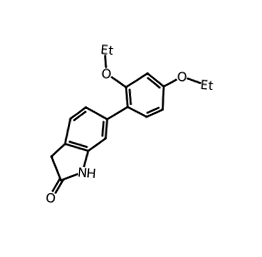 CCOc1ccc(-c2ccc3c(c2)NC(=O)C3)c(OCC)c1